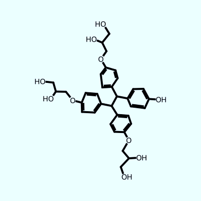 OCC(O)COc1ccc(C(c2ccc(O)cc2)C(c2ccc(OCC(O)CO)cc2)c2ccc(OCC(O)CO)cc2)cc1